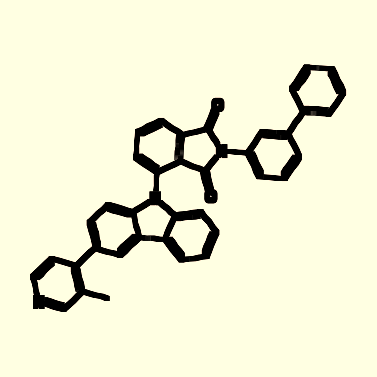 Cc1cnccc1-c1ccc2c(c1)c1ccccc1n2-c1cccc2c1C(=O)N(c1cccc(-c3ccccc3)c1)C2=O